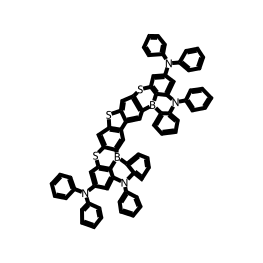 c1ccc(N(c2ccccc2)c2cc3c4c(c2)N(c2ccccc2)c2ccccc2B4c2cc4c(cc2S3)sc2cc3c(cc24)B2c4ccccc4N(c4ccccc4)c4cc(N(c5ccccc5)c5ccccc5)cc(c42)S3)cc1